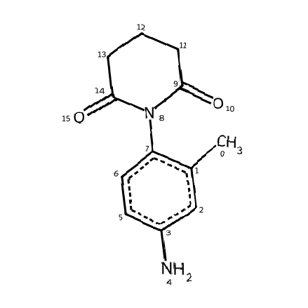 Cc1cc(N)ccc1N1C(=O)CCCC1=O